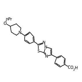 CCCOC1CCN(c2ccc(-c3nn4cc(-c5ccc(C(=O)O)cc5)nc4s3)cc2)CC1